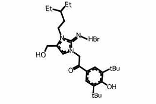 Br.CCC(CC)CCn1c(CO)cn(CC(=O)c2cc(C(C)(C)C)c(O)c(C(C)(C)C)c2)c1=NC